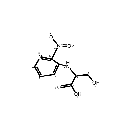 O=C(O)[C@H](CO)Nc1cccnc1[N+](=O)[O-]